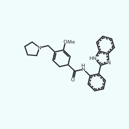 COC1=CC(C(=O)Nc2ccccc2-c2nc3ccccc3[nH]2)CC=C1CN1CCCC1